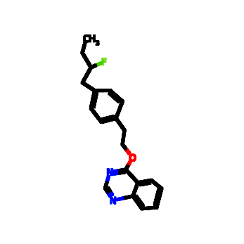 CCC(F)Cc1ccc(CCOc2ncnc3ccccc23)cc1